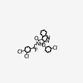 O=C(NC[C@@H](F)c1ccc(Cl)c(Cl)c1)c1c(Oc2cccc(Cl)c2)nnc2ccccc12